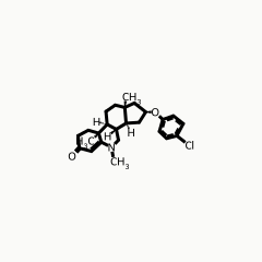 CN1C[C@H]2[C@@H]3C[C@H](Oc4ccc(Cl)cc4)C[C@@]3(C)CC[C@@H]2[C@@]2(C)CCC(=O)C=C12